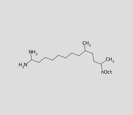 CCCCCCCCC(C)CCC(C)CCCCCCCC(N)N